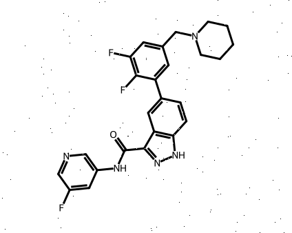 O=C(Nc1cncc(F)c1)c1n[nH]c2ccc(-c3cc(CN4CCCCC4)cc(F)c3F)cc12